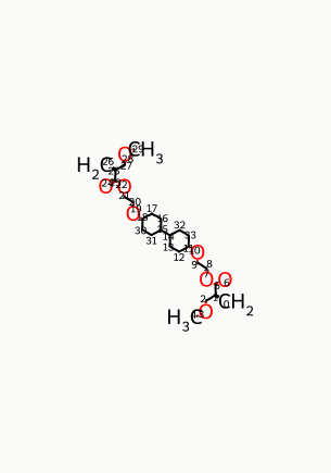 C=C(COC)C(=O)OCCOC1CCC(C2CCC(OCCOC(=O)C(=C)COC)CC2)CC1